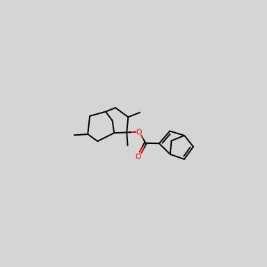 CC1CC2CC(C)C(C)(OC(=O)C3=CC4C=CC3C4)C(C1)C2